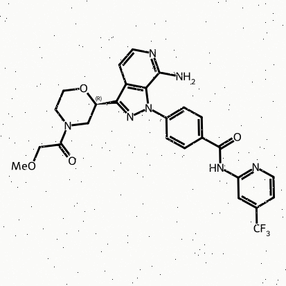 COCC(=O)N1CCO[C@@H](c2nn(-c3ccc(C(=O)Nc4cc(C(F)(F)F)ccn4)cc3)c3c(N)nccc23)C1